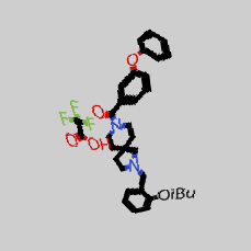 CC(C)COc1ccccc1CN1CCC2(CCN(C(=O)c3cccc(Oc4ccccc4)c3)CC2)C1.O=C(O)C(F)(F)F